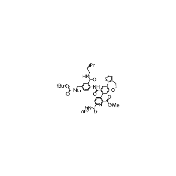 CCCNC(=O)c1ccc(-c2cc3c(cc2C(=O)Nc2ccc(CNC(=O)OC(C)(C)C)cc2C(=O)NCCC(C)C)-c2sccc2CCO3)c(C(=O)OC)n1